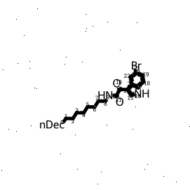 CCCCCCCCCCCCCCCCCCNC(=O)C(=O)c1c[nH]c2ccc(Br)cc12